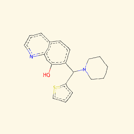 Oc1c(C(c2cccs2)N2CCCCC2)ccc2cccnc12